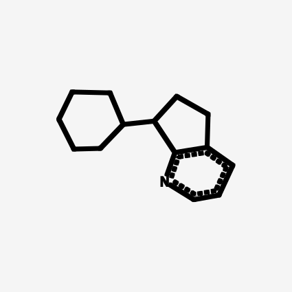 c1cnc2c(c1)CCC2C1CCCCC1